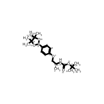 C[C@H](COc1ccc(B2OC(C)(C)C(C)(C)O2)cc1)NC(=O)OC(C)(C)C